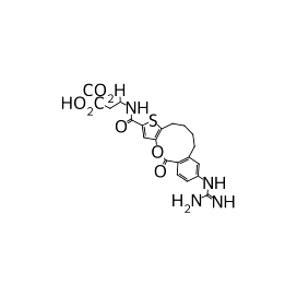 N=C(N)Nc1ccc2c(c1)CCCCc1sc(C(=O)NC(CC(=O)O)C(=O)O)cc1OC2=O